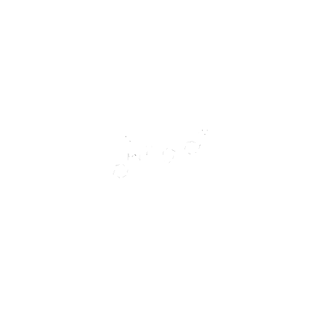 COc1cccc(-c2ccc(CC(=O)N[C@@H](Cc3ccc4c(c3)OCCO4)CN3CCCC3)cc2)c1